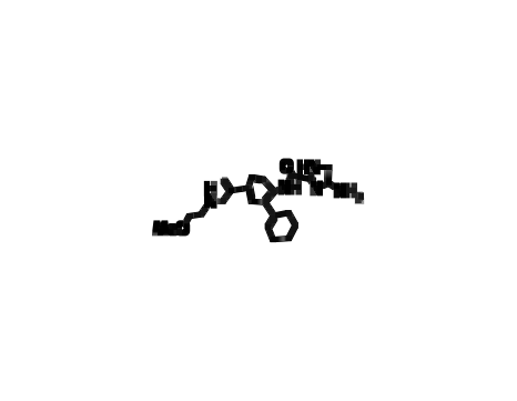 C=C(CNCCOC)c1ccc(NC(=O)c2nc(N)c[nH]2)c(C2=CCCCC2)c1